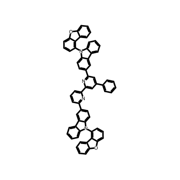 c1ccc(-c2cc(-c3ccc4c(c3)c3ccccc3n4-c3cccc4oc5ccccc5c34)nc(-c3cccc(-c4ccc5c(c4)c4ccccc4n5-c4cccc5oc6ccccc6c45)n3)c2)cc1